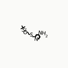 CC(C)(C)[Si](C)(C)OCCSCc1cc(N)ccn1